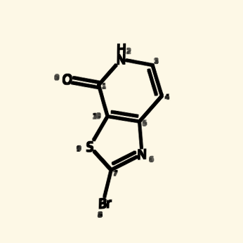 O=c1[nH]ccc2nc(Br)sc12